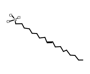 CCCCCCCCC=CCCCCCCCC[Si](Cl)(Cl)Cl